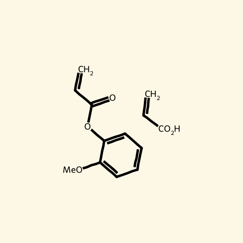 C=CC(=O)O.C=CC(=O)Oc1ccccc1OC